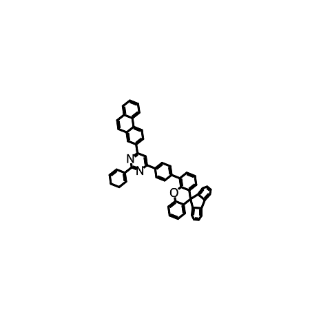 C1=CC(c2nc(-c3ccc(-c4cccc5c4Oc4ccccc4C54c5ccccc5-c5ccccc54)cc3)cc(-c3ccc4c(ccc5ccccc54)c3)n2)=CCC1